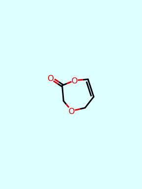 O=C1COCC=CO1